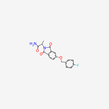 CC(C(N)=O)N1C(=O)c2ccc(OCc3ccc(F)cc3)cc2C1=O